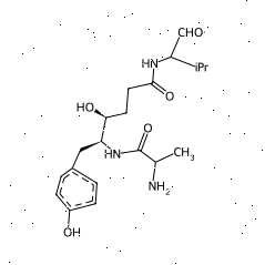 CC(N)C(=O)N[C@@H](Cc1ccc(O)cc1)[C@@H](O)CCC(=O)NC([C]=O)C(C)C